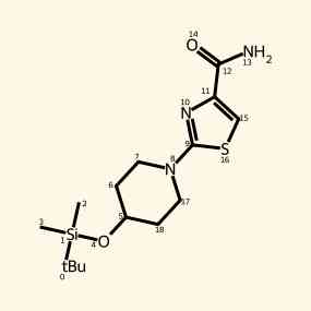 CC(C)(C)[Si](C)(C)OC1CCN(c2nc(C(N)=O)cs2)CC1